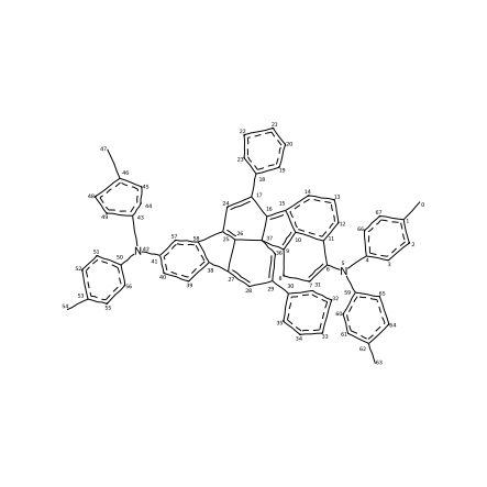 Cc1ccc(N(C2=CCC3=c4c2cccc4=C2C(c4ccccc4)=CC4=C5C(=CC(c6ccccc6)=CC523)c2ccc(N(c3ccc(C)cc3)c3ccc(C)cc3)cc24)c2ccc(C)cc2)cc1